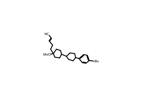 CCCCc1ccc(C2CCC(C3CCC(CCC=CC#N)(OC)CC3)CC2)cc1